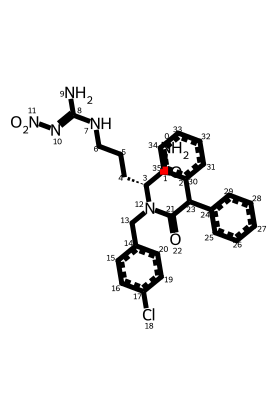 NC(=O)[C@@H](CCCNC(N)=N[N+](=O)[O-])N(Cc1ccc(Cl)cc1)C(=O)C(c1ccccc1)c1ccccc1